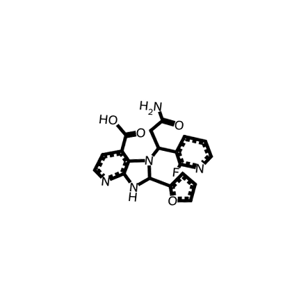 NC(=O)CC(c1cccnc1F)N1c2c(C(=O)O)ccnc2NC1c1ccco1